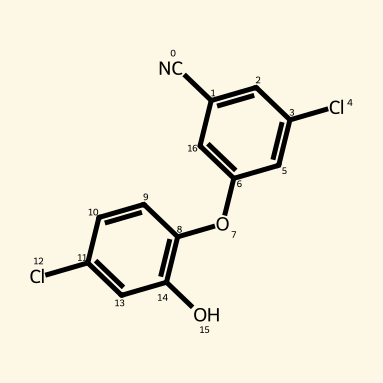 N#Cc1cc(Cl)cc(Oc2ccc(Cl)cc2O)c1